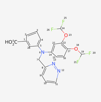 O=C(O)c1cccc(N(Cc2cccnn2)c2ccc(OC(F)F)c(OC(F)F)c2)c1